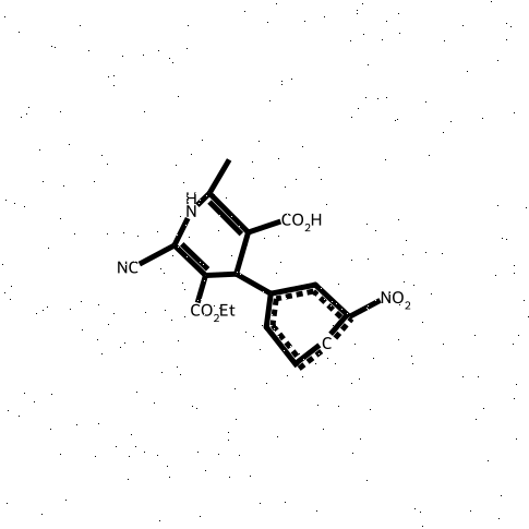 CCOC(=O)C1=C(C#N)NC(C)=C(C(=O)O)C1c1cccc([N+](=O)[O-])c1